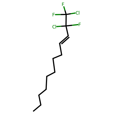 CCCCCCCC/C=C/C(F)(Cl)C(F)(F)Cl